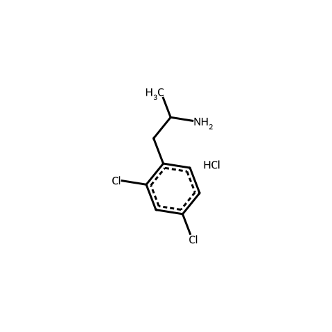 CC(N)Cc1ccc(Cl)cc1Cl.Cl